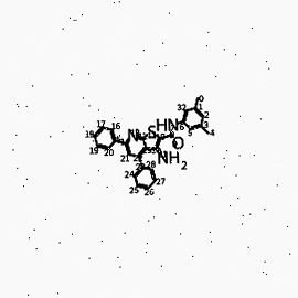 Cc1cc(C)cc(NC(=O)c2sc3nc(-c4ccccc4)cc(-c4ccccc4)c3c2N)c1